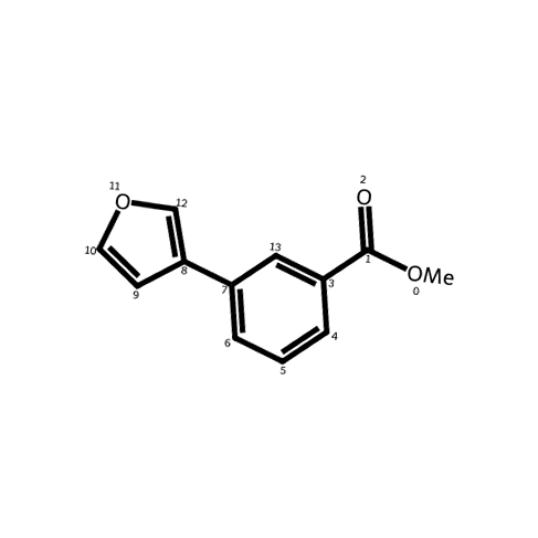 COC(=O)c1cccc(-c2ccoc2)c1